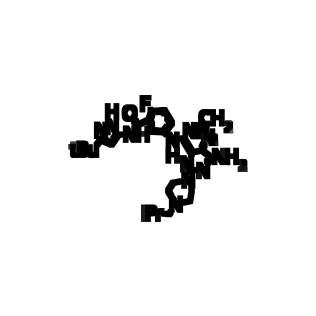 C=C/N=C1/C(N)=NC(N2CCN(CC(C)C)CC2)=N/C1=C(/N)Nc1ccc(F)c(C(=O)Nc2cc(C(C)(C)C)n[nH]2)c1